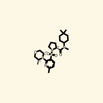 Cc1ccc(S(=O)(=O)N2CCC[C@H]2C(=O)N(C)C2CCC(C)(C)CC2)c(N2[C@@H](C)COC[C@@H]2C)n1